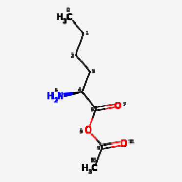 CCCC[C@H](N)C(=O)OC(C)=O